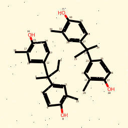 CCC(C)(c1ccc(O)c(C)c1)c1ccc(O)c(C)c1.Cc1cc(C(C)(C)c2ccc(O)c(C)c2)ccc1O